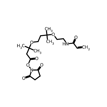 C=CC(=O)NCCOC(C)(C)CCOC(C)(C)CC(=O)ON1C(=O)CCC1=O